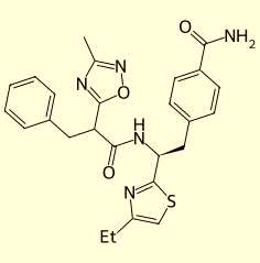 CCc1csc([C@H](Cc2ccc(C(N)=O)cc2)NC(=O)C(Cc2ccccc2)c2nc(C)no2)n1